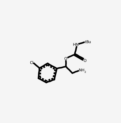 CC(C)(C)NC(=O)OC(CN)c1cccc(Cl)c1